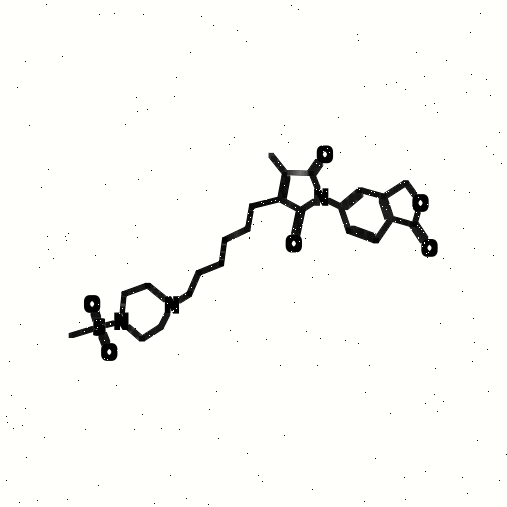 CC1=C(CCCCCCN2CCN(S(C)(=O)=O)CC2)C(=O)N(c2ccc3c(c2)COC3=O)C1=O